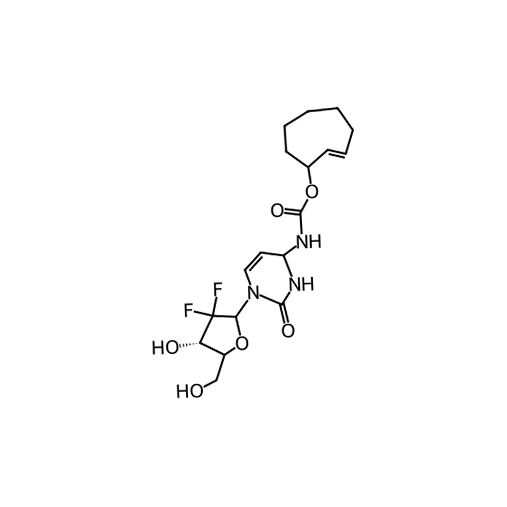 O=C(NC1C=CN(C2OC(CO)[C@H](O)C2(F)F)C(=O)N1)OC1/C=C/CCCCC1